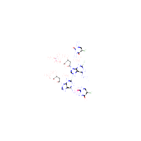 Nc1nc(F)nc2c1ncn2[C@@H]1O[C@H](CO)[C@@H](O)[C@@H]1O.Nc1nc(F)nc2c1ncn2[C@@H]1O[C@H](COP(=O)(O)O)[C@@H](O)[C@@H]1O.O=c1[nH]cc(F)c(=O)[nH]1.O=c1[nH]cc(F)c(=O)[nH]1